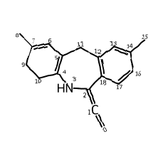 C=C=C1NC2=C(C=C(C)CC2)Cc2cc(C)ccc21